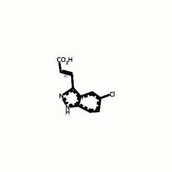 O=C(O)/C=C/c1n[nH]c2ccc(Cl)cc12